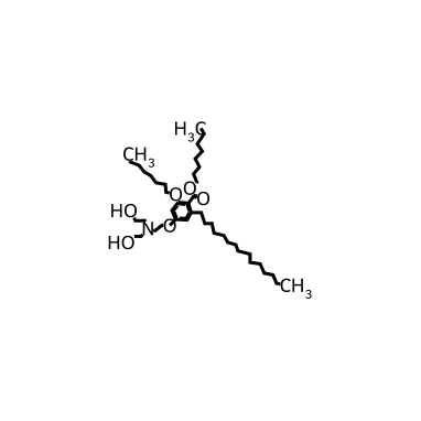 CCCCCCCCCCCCCCCc1cc(OCCN(CCO)CCO)cc(OCCCCCCCC)c1C(=O)OCCCCCCCC